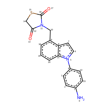 Nc1ccc(-n2ccc3c(CN4C(=O)CSC4=O)cccc32)cc1